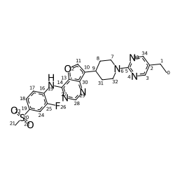 CCc1cnc(N2CCC(c3coc4c(Nc5ccc(S(C)(=O)=O)cc5F)ncnc34)CC2)nc1